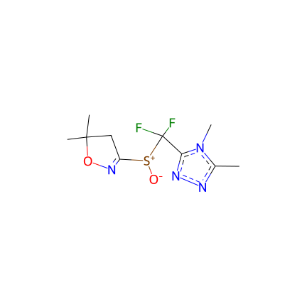 Cc1nnc(C(F)(F)[S+]([O-])C2=NOC(C)(C)C2)n1C